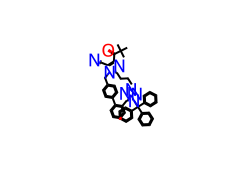 CCCc1nc(C(=O)C(C)(C)C)c(C#N)n1Cc1ccc(-c2ccccc2-c2nnnn2C(c2ccccc2)(c2ccccc2)c2ccccc2)cc1